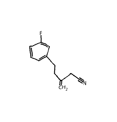 C=C(CC#N)CCc1cccc(F)c1